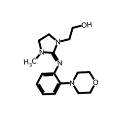 CN1CCN(CCO)/C1=N/c1ccccc1N1CCOCC1